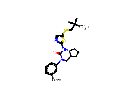 COc1cccc(N(CC2CCCC2)C(=O)Nc2ncc(SCC(C)(C)C(=O)O)s2)c1